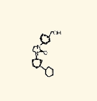 O=C1N(c2ccc(CO)cc2)CCN1c1cccc(C2CCCCC2)c1